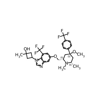 CO[C@]1(c2ccc(C(F)(F)F)cc2)C[C@@H](COc2cc(C(F)(F)F)c3c(c2)ncn3C2CC(C)(O)C2)N(C)[C@@H](C)C1